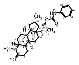 C[C@H]1C[C@H]2[C@@H]3CC[C@H]4N(C)C(=O)CC[C@]4(C)[C@H]3CC[C@]2(C)[C@H]1[C@@H](C)OC(=O)Nc1ccccc1